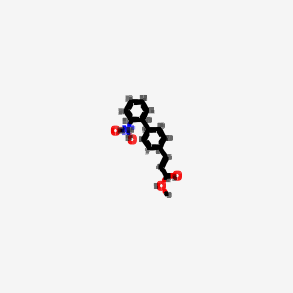 COC(=O)/C=C/c1ccc(-c2ccccc2[N+](=O)[O-])cc1